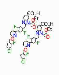 CCO[C@H]1COC[C@H]1n1c(Cc2cc(F)c(-c3cccc(OCc4ccc(Cl)cc4F)n3)cc2F)nc2ccc(C(=O)O)cc21.CCO[C@H]1COC[C@H]1n1c(Cc2cc(F)c(-c3cccc(OCc4ccc(Cl)cc4F)n3)cc2F)nc2ccc(C(=O)O)cc21